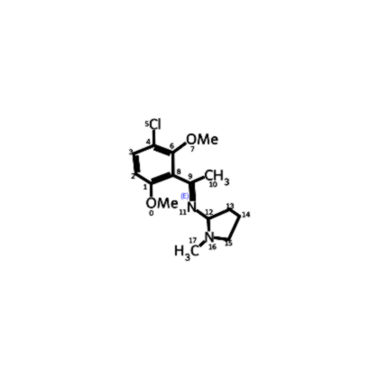 COc1ccc(Cl)c(OC)c1/C(C)=N/C1CCCN1C